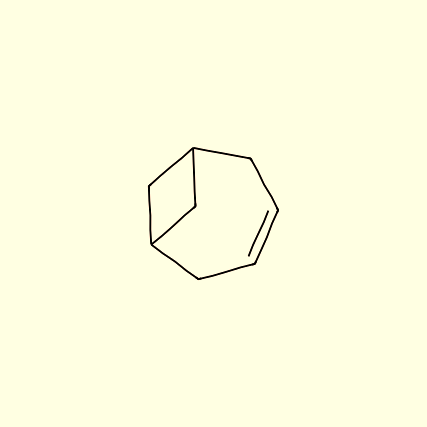 C1=CCC2CC(C1)C2